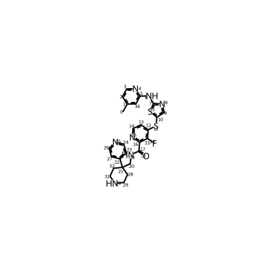 Cc1ccnc(Nc2ncc(Sc3ccnc(C(=O)NCC4(c5ccncc5)CCNCC4)c3F)s2)c1